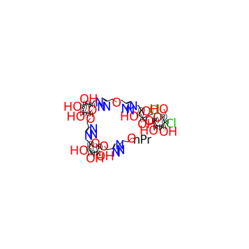 CCCOCCn1cc(CO[C@H]2O[C@H](Cn3cc(CO[C@H]4O[C@H](Cn5cc(COCc6cn(C[C@H]7OC(CCl)(O[C@H]8O[C@H](CO)[C@H](Cl)[C@H](O)[C@H]8O)[C@@H](O)[C@@H]7O)nn6)nn5)[C@@H](O)[C@H](O)[C@@H]4O)nn3)[C@@H](O)[C@H](O)[C@@H]2O)nn1